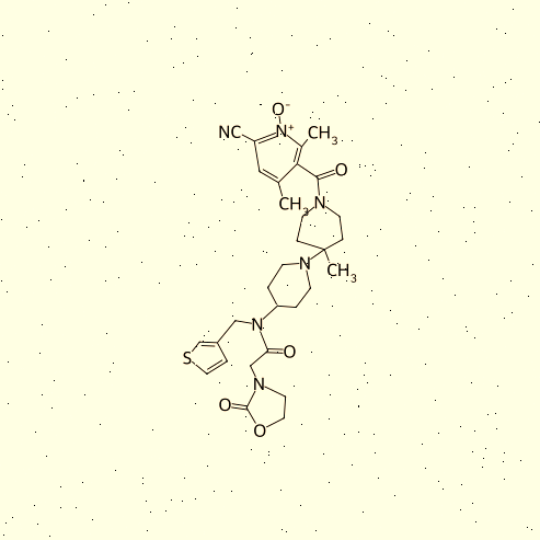 Cc1cc(C#N)[n+]([O-])c(C)c1C(=O)N1CCC(C)(N2CCC(N(Cc3ccsc3)C(=O)CN3CCOC3=O)CC2)CC1